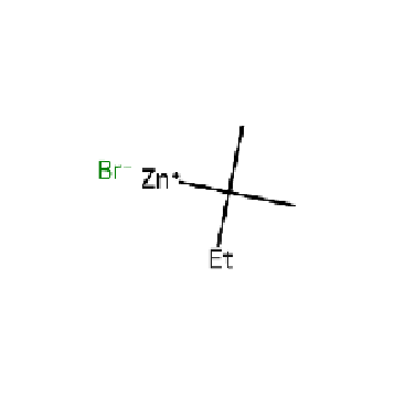 CC[C](C)(C)[Zn+].[Br-]